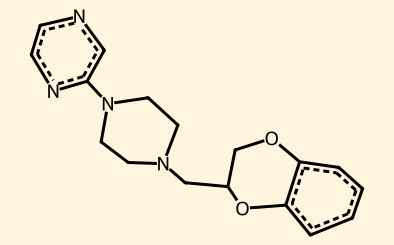 c1ccc2c(c1)OCC(CN1CCN(c3cnccn3)CC1)O2